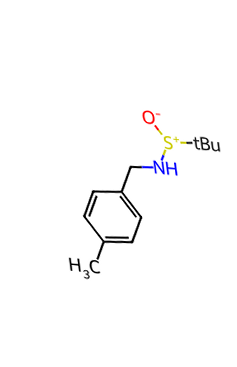 Cc1ccc(CN[S+]([O-])C(C)(C)C)cc1